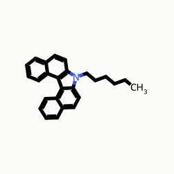 CCCCCCn1c2ccc3ccccc3c2c2c3ccccc3ccc21